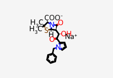 CC1(C)S[C@@H]2[C@H]([C@H](O)C(=O)c3cccn3Cc3ccccc3)C(=O)N2[C@H]1C(=O)[O-].[Na+]